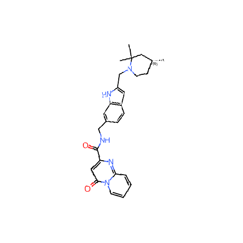 C[C@@H]1CCN(Cc2cc3ccc(CNC(=O)c4cc(=O)n5ccccc5n4)cc3[nH]2)C(C)(C)C1